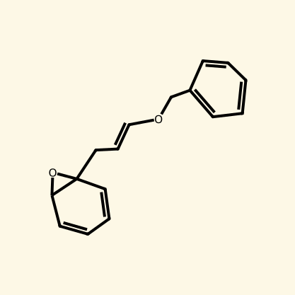 C1=CC2OC2(CC=COCc2ccccc2)C=C1